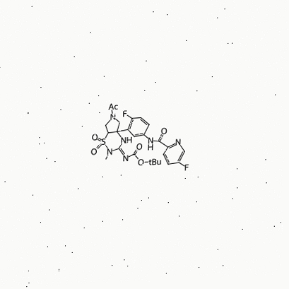 CC(=O)N1CC2C(c3cc(NC(=O)c4ccc(F)cn4)ccc3F)(C1)N/C(=N\C(=O)OC(C)(C)C)N(C)S2(=O)=O